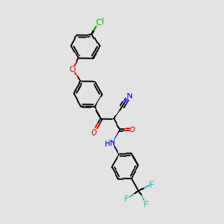 N#CC(C(=O)Nc1ccc(C(F)(F)F)cc1)C(=O)c1ccc(Oc2ccc(Cl)cc2)cc1